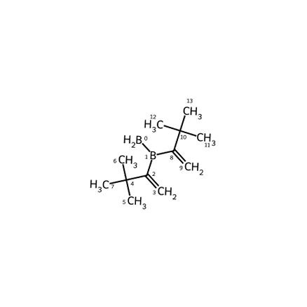 BB(C(=C)C(C)(C)C)C(=C)C(C)(C)C